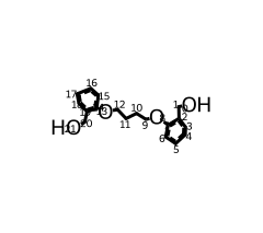 OCc1ccccc1OCCCCOc1ccccc1CO